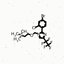 C[Si](C)(C)CCOCn1cc(C(F)(F)C(F)(F)F)nc1-c1ccc(Br)cc1Cl